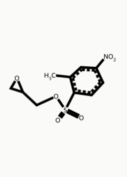 Cc1cc([N+](=O)[O-])ccc1S(=O)(=O)OCC1CO1